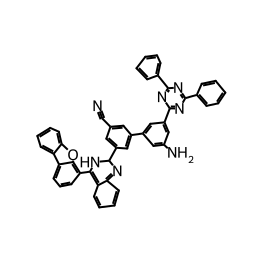 N#Cc1cc(-c2cc(N)cc(-c3nc(-c4ccccc4)nc(-c4ccccc4)n3)c2)cc(C2N=c3ccccc3=C(c3cccc4c3oc3ccccc34)N2)c1